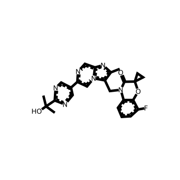 Cc1nc2cnc(-c3cnc(C(C)(C)O)nc3)cn2c1CN1C(=O)C2(CC2)Oc2c(F)cccc21